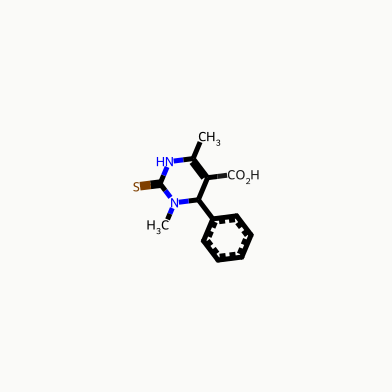 CC1=C(C(=O)O)C(c2ccccc2)N(C)C(=S)N1